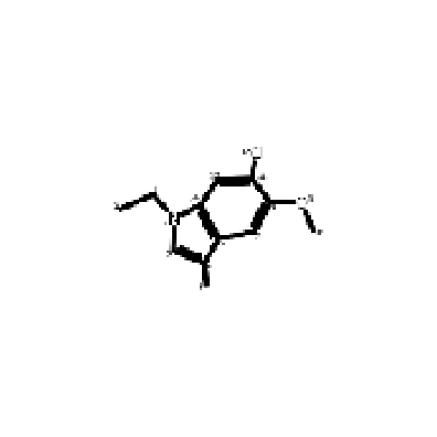 CCn1cc(C)c2cc(OC)c(Cl)cc21